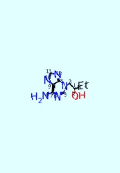 CCC(O)Cn1cnc(N)c2ncnc1-2